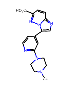 CC(=O)N1CCN(c2cc(-c3cnc4ccc(C(=O)O)nn34)ccn2)CC1